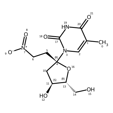 Cc1cn([C@@]2(CC[N+](=O)[O-])C[C@H](O)[C@@H](CO)O2)c(=O)[nH]c1=O